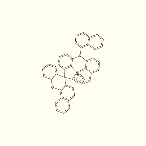 c1ccc2c(c1)Oc1c(ccc3ccccc13)C21c2ccccc2-c2c(N(c3cccc4ccccc34)c3cccc4ccccc34)cccc21